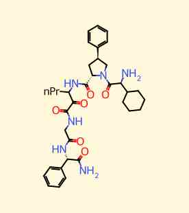 CCCC(NC(=O)[C@@H]1C[C@@H](c2ccccc2)CN1C(=O)[C@@H](N)C1CCCCC1)C(=O)C(=O)NCC(=O)N[C@H](C(N)=O)c1ccccc1